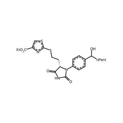 CCCCCC(O)c1ccc(N2C(=O)NC(=O)[C@@H]2CCSc2nc(C(=O)OCC)cs2)cc1